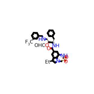 CCc1cn2c3c(cc(C(=O)N[C@@H](Cc4ccccc4)[C@@H](CNCc4cccc(C(F)(F)F)c4)OC=O)cc13)NS(=O)(=O)C2